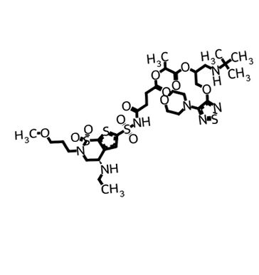 CCN[C@@H]1CN(CCCOC)S(=O)(=O)c2sc(S(=O)(=O)NC(=O)CCC(=O)OC(C)C(=O)OC(CNC(C)(C)C)COc3nsnc3N3CCOCC3)cc21